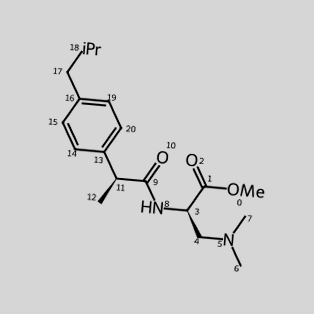 COC(=O)[C@@H](CN(C)C)NC(=O)[C@@H](C)c1ccc(CC(C)C)cc1